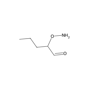 CCCC(C=O)ON